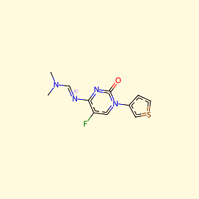 CN(C)/C=N/c1nc(=O)n(-c2ccsc2)cc1F